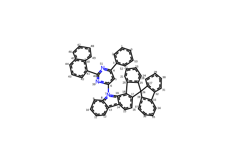 c1ccc(-c2cc(-n3c4ccccc4c4ccc5c(c43)-c3ccccc3C53c4ccccc4-c4ccccc43)nc(-c3cccc4ccccc34)n2)cc1